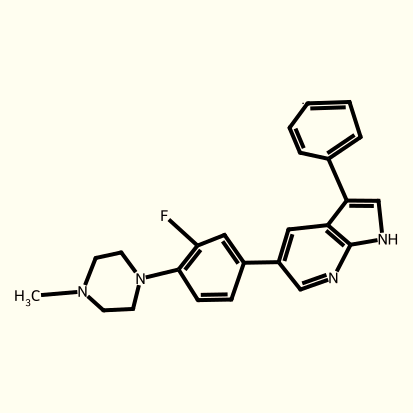 CN1CCN(c2ccc(-c3cnc4[nH]cc(-c5cc[c]cc5)c4c3)cc2F)CC1